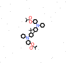 C=C(C)C(=O)Oc1cccc(N(c2ccccc2)c2ccc3c(c2)C(C)(C)c2cc(N(c4ccccc4)c4cccc(OC(=O)C(=C)C)c4)ccc2-3)c1